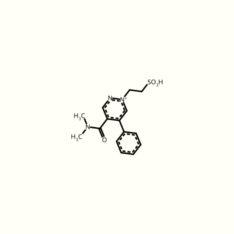 CN(C)C(=O)c1cn[n+](CCS(=O)(=O)O)cc1-c1ccccc1